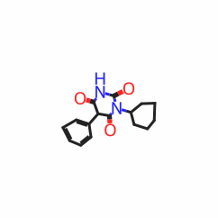 O=C1NC(=O)N(C2CCCCC2)C(=O)C1c1ccccc1